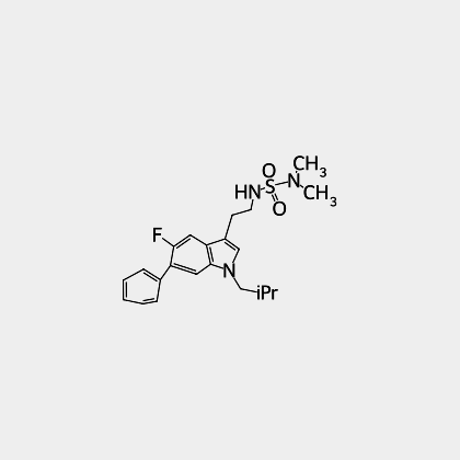 CC(C)Cn1cc(CCNS(=O)(=O)N(C)C)c2cc(F)c(-c3ccccc3)cc21